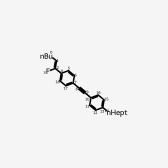 CCCCC=C(F)c1ccc(C#Cc2ccc(CCCCCCC)cc2)cc1